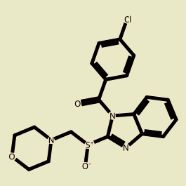 O=C(c1ccc(Cl)cc1)n1c([S+]([O-])CN2CCOCC2)nc2ccccc21